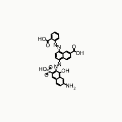 Nc1ccc2cc(S(=O)(=O)O)c(N=Nc3ccc(N=Nc4ccccc4C(=O)O)c4cc(C(=O)O)ccc34)c(O)c2c1